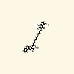 COC(=O)C(Cc1c[nH]c2ccccc12)NC(=O)CCCCCCCCCCn1c(=O)c2c(ncn2C)n(C)c1=O